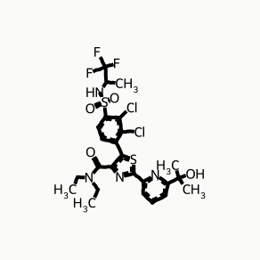 CCN(CC)C(=O)c1nc(-c2cccc(C(C)(C)O)n2)sc1-c1ccc(S(=O)(=O)NC(C)C(F)(F)F)c(Cl)c1Cl